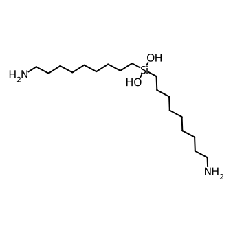 NCCCCCCCCC[Si](O)(O)CCCCCCCCCN